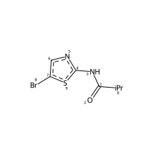 CC(C)C(=O)Nc1ncc(Br)s1